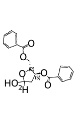 [2H]C1(O)C[C@H](OC(=O)c2ccccc2)[C@@H](COC(=O)c2ccccc2)O1